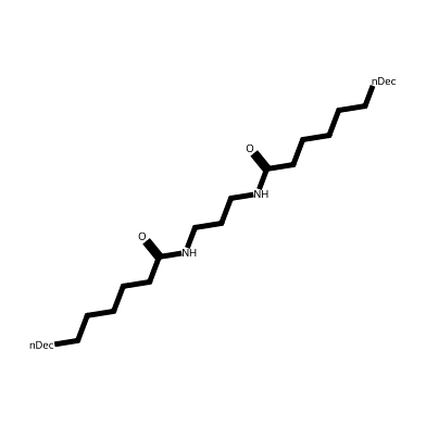 CCCCCCCCCCCCCCCC(=O)NCCCNC(=O)CCCCCCCCCCCCCCC